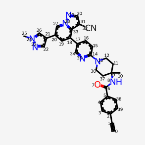 C#Cc1ccc(C(=O)NC2(C)CCN(c3ccc(-c4cc(-c5cnn(C)c5)cn5ncc(C#N)c45)cn3)CC2)cc1